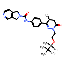 CC1CC(=O)N(CCO[Si](C)(C)C(C)(C)C)N=C1c1ccc(NC(=O)N2Cc3ccncc3C2)cc1